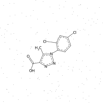 Cc1c(C(=O)O)nnn1-c1ccc(Cl)cc1Cl